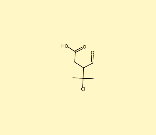 CC(C)(Cl)C(C=O)CC(=O)O